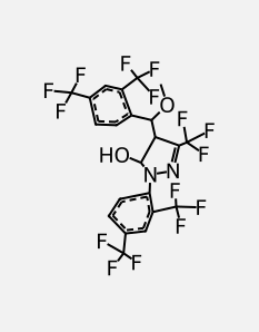 COC(c1ccc(C(F)(F)F)cc1C(F)(F)F)C1C(C(F)(F)F)=NN(c2ccc(C(F)(F)F)cc2C(F)(F)F)C1O